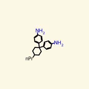 CCCC1CCC(c2ccc(N)cc2)(c2ccc(N)cc2)CC1